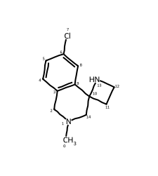 CN1Cc2ccc(Cl)cc2C2(CCN2)C1